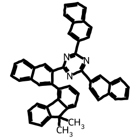 CC1(C)c2ccccc2-c2c(-c3cc4ccccc4cc3-c3nc(-c4ccc5ccccc5c4)nc(-c4ccc5ccccc5c4)n3)cccc21